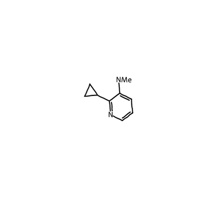 CNc1cccnc1C1CC1